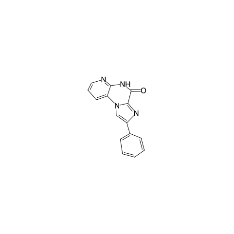 O=c1[nH]c2ncccc2n2cc(-c3ccccc3)nc12